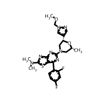 COCn1cc([C@H]2CN(c3nc(-c4ccc(F)cc4F)c4sc(N(C)C)nc4n3)C[C@@H](C)O2)cn1